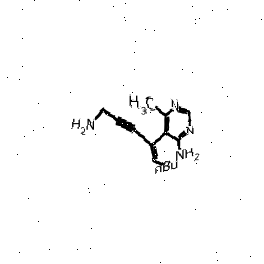 CCCC/C=C(/C#CCN)c1c(C)ncnc1N